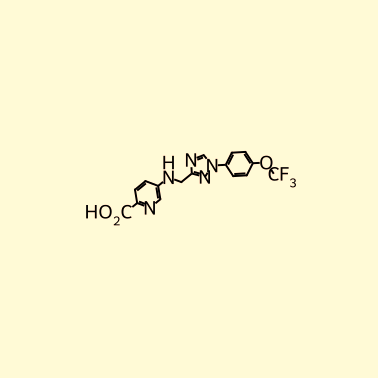 O=C(O)c1ccc(NCc2ncn(-c3ccc(OC(F)(F)F)cc3)n2)cn1